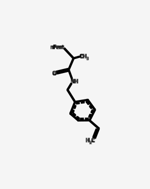 C=Cc1ccc(CNC(=O)C(C)CCCCC)cc1